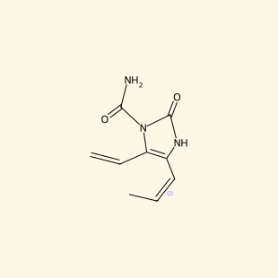 C=Cc1c(/C=C\C)[nH]c(=O)n1C(N)=O